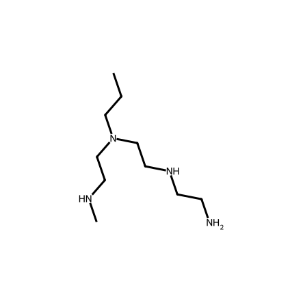 CCCN(CCNC)CCNCCN